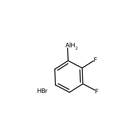 Br.Fc1ccc[c]([AlH2])c1F